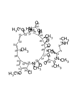 CNCCC(=O)N(C)[C@@H](C)C(=O)O[C@@H]1CC(=O)N(C)c2cc(cc(OC)c2Cl)C/C(C)=C/C=C/[C@@H](OC)[C@@]2(O)C[C@H](OC(=O)N2)[C@@H](C)[C@@H]2O[C@@]12C